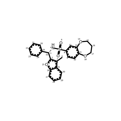 Cc1c([C@@H](NS(=O)(=O)c2ccc3c(c2)OCCCO3)c2ccccc2)oc2ccccc12